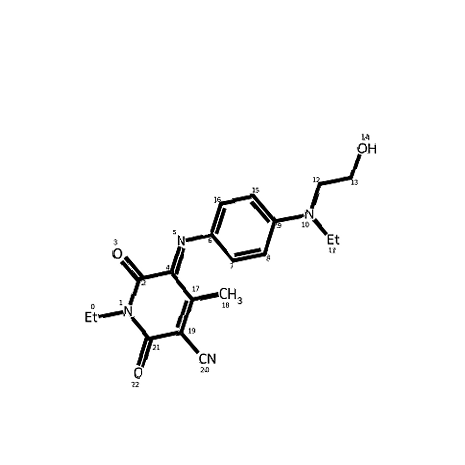 CCN1C(=O)C(=Nc2ccc(N(CC)CCO)cc2)C(C)=C(C#N)C1=O